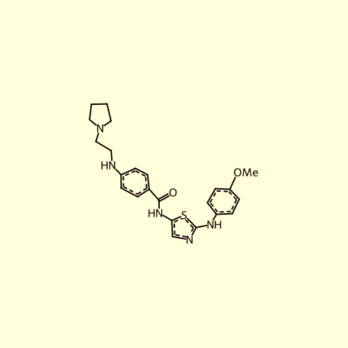 COc1ccc(Nc2ncc(NC(=O)c3ccc(NCCN4CCCC4)cc3)s2)cc1